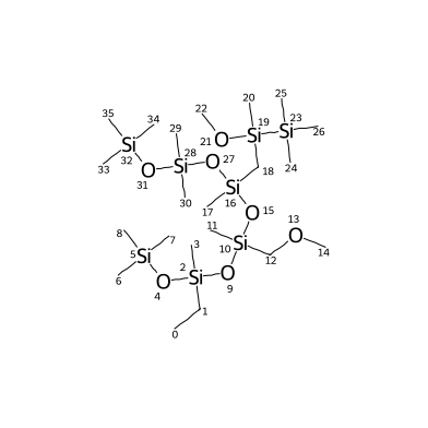 CC[Si](C)(O[Si](C)(C)C)O[Si](C)(COC)O[Si](C)(C[Si](C)(OC)[Si](C)(C)C)O[Si](C)(C)O[Si](C)(C)C